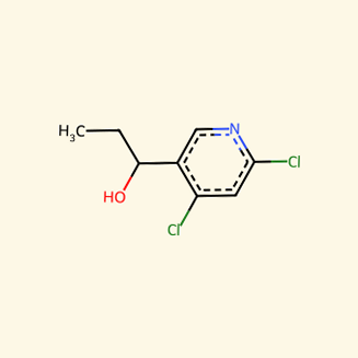 CCC(O)c1cnc(Cl)cc1Cl